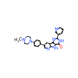 CN1CCN(c2ccc(-c3cnc4[nH]c5c(=O)[nH]c(-c6cccnc6)nc5c4c3)cc2)CC1